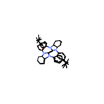 CC(C)(C)c1ccc(N2C(=C3N(c4ccc(C(C)(C)C)cc4)C4CCCCC4N3c3ccc(C(C)(C)C)cc3)N(c3ccc(C(C)(C)C)cc3)C3CCCCC32)cc1